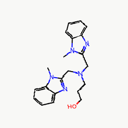 Cn1c(CN(CCCO)Cc2nc3ccccc3n2C)nc2ccccc21